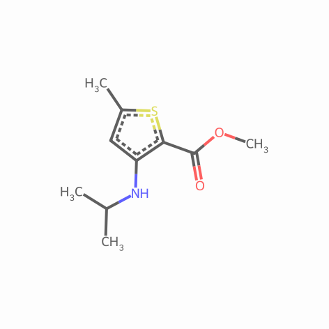 COC(=O)c1sc(C)cc1NC(C)C